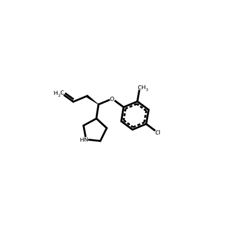 C=CC[C@@H](Oc1ccc(Cl)cc1C)C1CCNC1